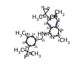 C=C/C=c1/nc(C)nc(NCc2cc(C)cc(C(C)(C)F)c2)/c1=C/N(C)C1(C)CC1